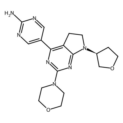 Nc1ncc(-c2nc(N3CCOCC3)nc3c2CCN3[C@H]2CCOC2)cn1